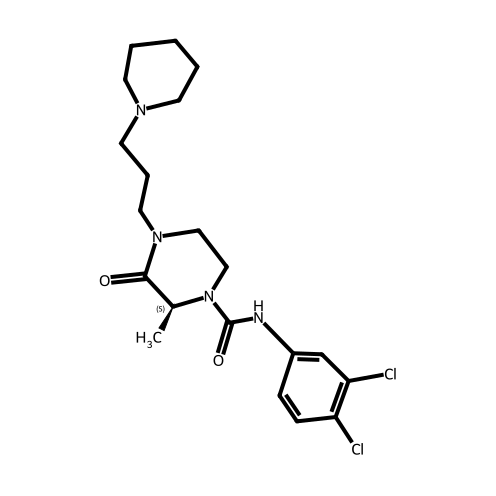 C[C@H]1C(=O)N(CCCN2CCCCC2)CCN1C(=O)Nc1ccc(Cl)c(Cl)c1